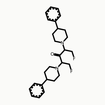 O=C(C(CF)N1CCC(c2ccccc2)CC1)C(CF)N1CCC(c2ccccc2)CC1